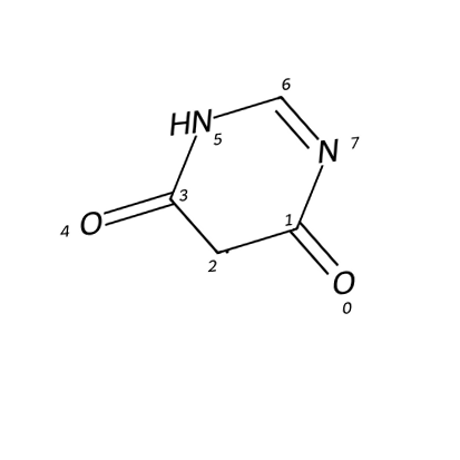 O=C1[CH]C(=O)NC=N1